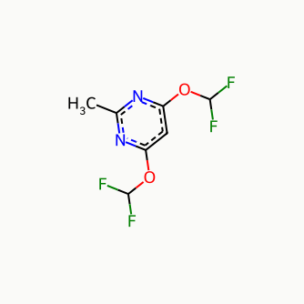 Cc1nc(OC(F)F)cc(OC(F)F)n1